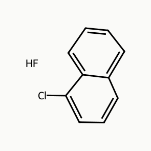 Clc1cccc2ccccc12.F